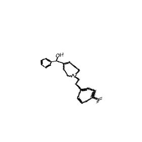 OC(c1ccccc1)C1CCN(CCc2ccc(F)cc2)CC1